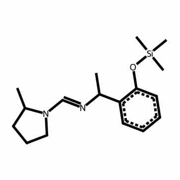 CC(N=CN1CCCC1C)c1ccccc1O[Si](C)(C)C